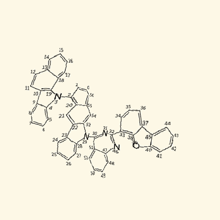 c1cc(-n2c3ccccc3c3ccc4ccccc4c32)c2cc3c4ccccc4n(-c4nc(-c5cccc6c5oc5ccccc56)nc5ccccc45)c3cc2c1